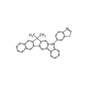 CC1(C)c2cc3ccccc3cc2-c2cc3c4ccccc4n(-c4ccc5c(c4)CC=N5)c3cc21